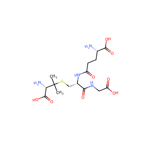 CC(C)(SC[C@H](NC(=O)CC[C@H](N)C(=O)O)C(=O)NCC(=O)O)[C@@H](N)C(=O)O